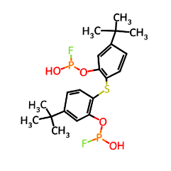 CC(C)(C)c1ccc(Sc2ccc(C(C)(C)C)cc2OP(O)F)c(OP(O)F)c1